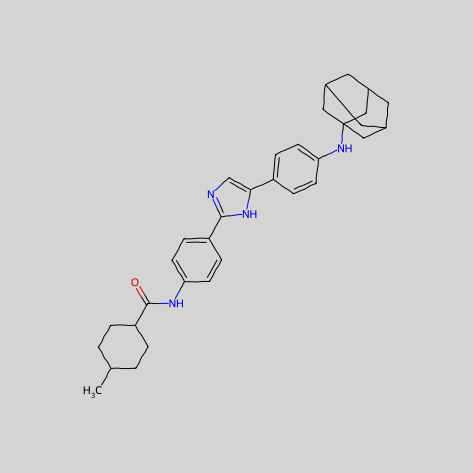 CC1CCC(C(=O)Nc2ccc(-c3ncc(-c4ccc(NC56CC7CC(CC(C7)C5)C6)cc4)[nH]3)cc2)CC1